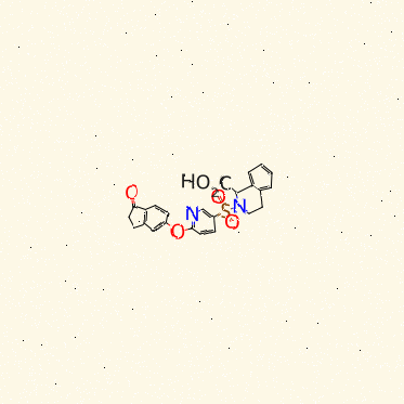 O=C1CCc2cc(Oc3ccc(S(=O)(=O)N4CCc5ccccc5C4C(=O)O)cn3)ccc21